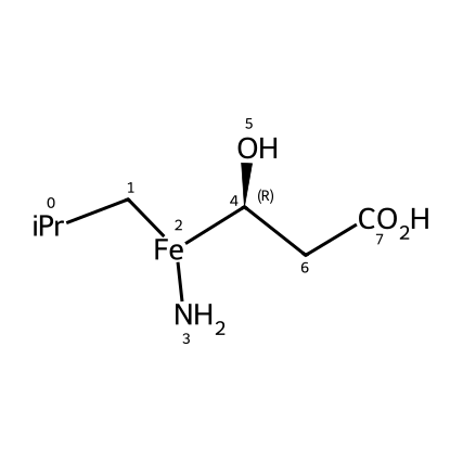 CC(C)[CH2][Fe]([NH2])[C@@H](O)CC(=O)O